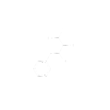 CC(O)C(C)C(O)Cc1ccccc1